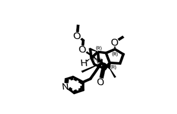 COCO[C@@H]1C[C@@](C)(Cc2ccncc2)C(=O)[C@H](C)C23CC[C@H]4C[C@]41C2[C@H](OC)CC3